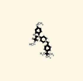 COc1ccc2c(c1)nc(C(F)(F)F)n2C1CCN(Cc2ccc(C(C)(C)C)cc2)CC1.Cl